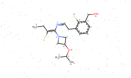 CC/C(F)=C(\N=C/Cc1cccc(CO)c1F)N1CC(OC(C)C)C1